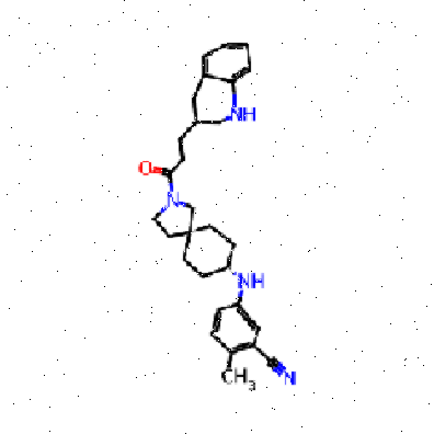 Cc1ccc(N[C@H]2CC[C@]3(CCN(C(=O)CCC4CNc5ccccc5C4)C3)CC2)cc1C#N